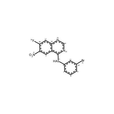 O=[N+]([O-])c1cc2c([AsH]c3cccc(Br)c3)ncnc2cc1F